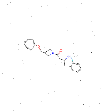 NC(CC(=O)N1CC(COc2ccccc2)C1)Cc1ccccc1F